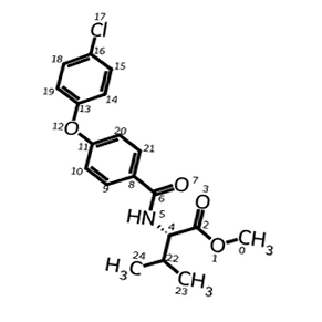 COC(=O)[C@@H](NC(=O)c1ccc(Oc2ccc(Cl)cc2)cc1)C(C)C